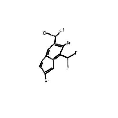 FC(F)c1c(Br)c(C(Cl)Cl)cc2ccc(Br)cc12